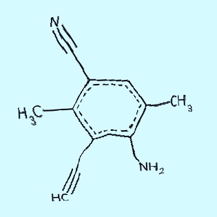 C#Cc1c(C)c(C#N)cc(C)c1N